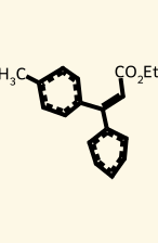 CCOC(=O)C=C(c1ccccc1)c1ccc(C)cc1